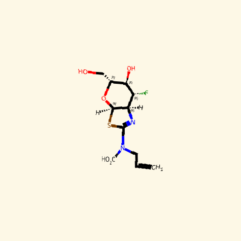 C=CCN(C(=O)O)C1=N[C@@H]2[C@@H](F)[C@H](O)[C@@H](CO)O[C@@H]2S1